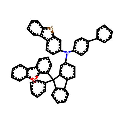 c1ccc(-c2ccc(N(c3ccc4c(c3)C(c3ccccc3)(c3cccc5c3oc3ccccc35)c3ccccc3-4)c3ccc4c(c3)sc3ccccc34)cc2)cc1